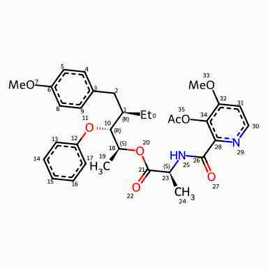 CC[C@H](Cc1ccc(OC)cc1)[C@@H](Oc1ccccc1)[C@H](C)OC(=O)[C@H](C)NC(=O)c1nccc(OC)c1OC(C)=O